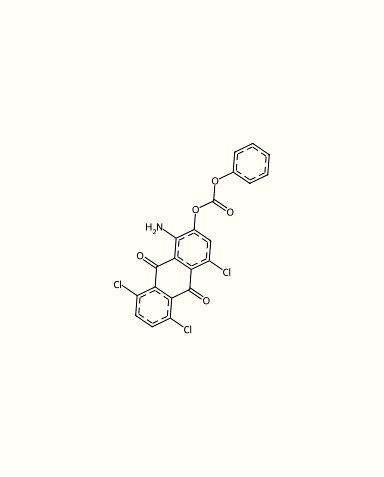 Nc1c(OC(=O)Oc2ccccc2)cc(Cl)c2c1C(=O)c1c(Cl)ccc(Cl)c1C2=O